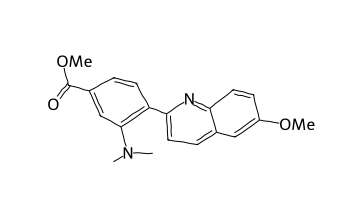 COC(=O)c1ccc(-c2ccc3cc(OC)ccc3n2)c(N(C)C)c1